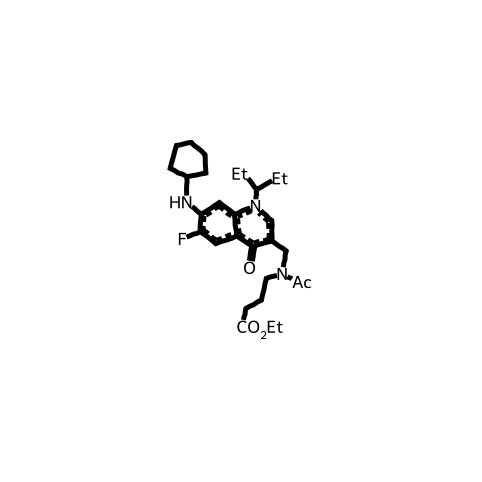 CCOC(=O)CCCN(Cc1cn(C(CC)CC)c2cc(NC3CCCCC3)c(F)cc2c1=O)C(C)=O